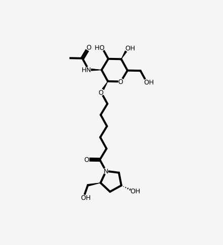 CC(=O)N[C@H]1C(O)[C@@H](O)C(CO)O[C@H]1OCCCCCC(=O)N1C[C@H](O)C[C@H]1CO